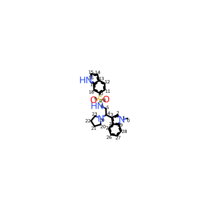 Cn1cc(C(CNS(=O)(=O)c2ccc3cc[nH]c3c2)N2CCCC2)c2ccccc21